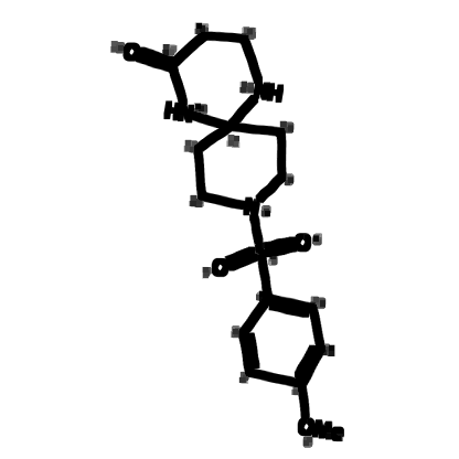 COc1ccc(S(=O)(=O)N2CCC3(CC2)NCCC(=O)N3)cc1